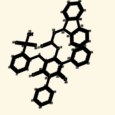 O=C(Oc1c(Cc2ccccc2S(=O)(=O)O)c(=O)n(-c2ccccc2)c(=O)n1-c1ccccc1)OC1c2ccccc2-c2ccccc21